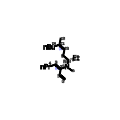 C=C/C(=C\CCC)N(C)[C@@H](CC)C/C=C(/C)CCCC